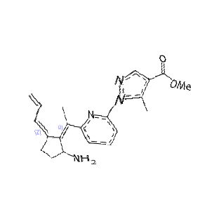 C=C/C=C1/CCC(N)/C1=C(/C)c1cccc(-n2ncc(C(=O)OC)c2C)n1